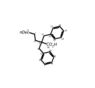 CCCCCCCCCCCCC(Cc1ccccc1)(Cc1ccccc1)C(=O)O